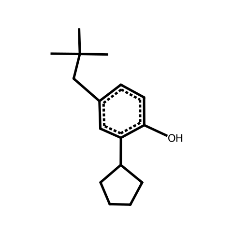 CC(C)(C)Cc1ccc(O)c(C2CCCC2)c1